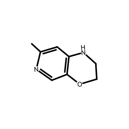 Cc1cc2c(cn1)OCCN2